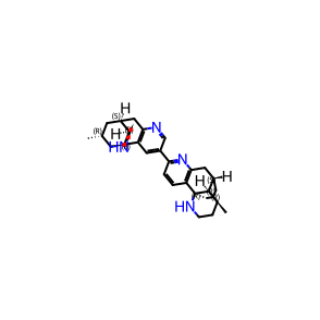 C[C@@H]1C[C@H]2Cc3ncc(-c4ccc5c(n4)C[C@@H]4C[C@@H](C)C[C@]56NCCC[C@H]46)cc3[C@]3(C1)NCCC[C@H]23